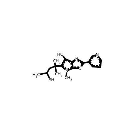 CC(S)CC(C)(C)c1c(O)c2nc(-c3cccnc3)sc2n1C